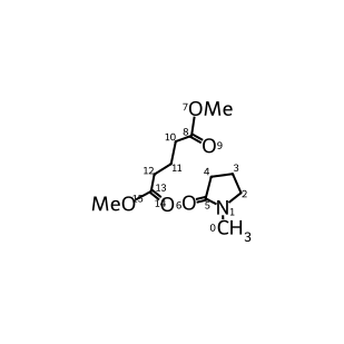 CN1CCCC1=O.COC(=O)CCCC(=O)OC